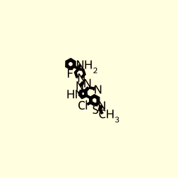 Cc1nc2ccc(-c3c[nH]c4nc(N5CCC(N)(c6ccccc6F)CC5)nc(C#N)c34)c(Cl)c2s1